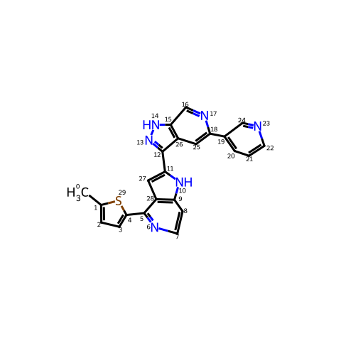 Cc1ccc(-c2nccc3[nH]c(-c4n[nH]c5cnc(-c6cccnc6)cc45)cc23)s1